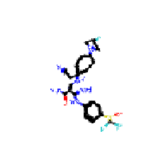 N#CCC1(N/C=C(\C(=N)Nc2ccc([S+]([O-])C(F)F)cc2)C(N)=O)CCC(N2CC(F)C2)CC1